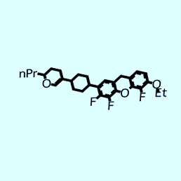 CCCC1CCC(C2CCC(c3cc4c(c(F)c3F)Oc3c(ccc(OCC)c3F)C4)CC2)=CO1